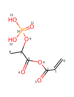 C=CC(=O)OC(=O)C(C)OP(=O)(O)O